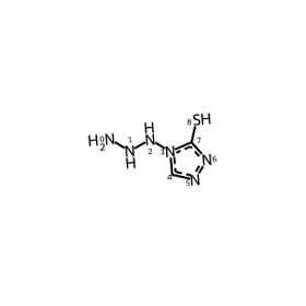 NNNn1cnnc1S